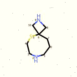 C1CNCCSC2(C1)CNC2